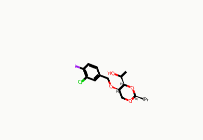 CC(C)[C@H]1OC[C@@H](OCc2ccc(I)c(Cl)c2)[C@@H](C(C)O)O1